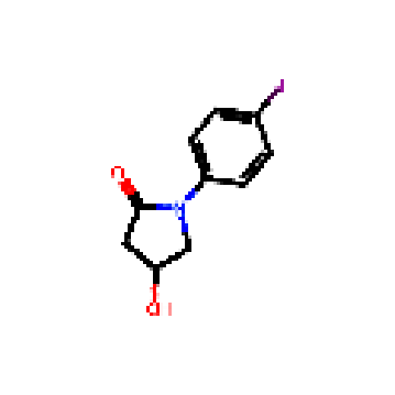 O=C1CC(O)CN1c1ccc(I)cc1